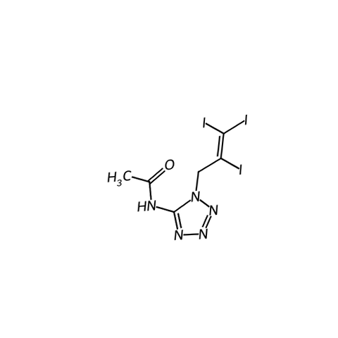 CC(=O)Nc1nnnn1CC(I)=C(I)I